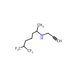 C#CCNC(C)CCCC(C(F)(F)F)C(F)(F)F